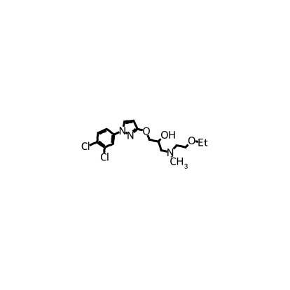 CCOCCN(C)CC(O)COc1ccn(-c2ccc(Cl)c(Cl)c2)n1